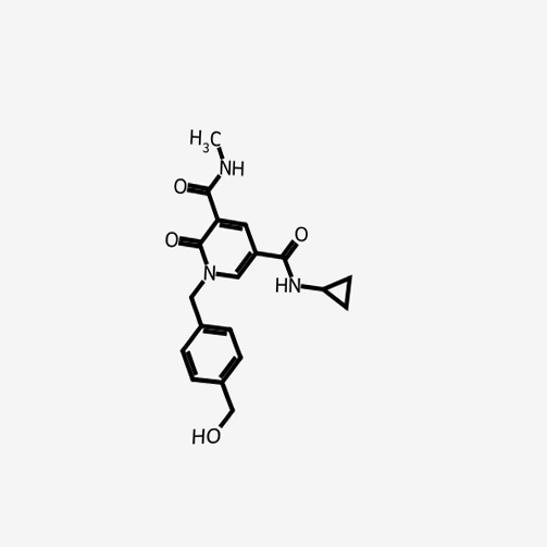 CNC(=O)c1cc(C(=O)NC2CC2)cn(Cc2ccc(CO)cc2)c1=O